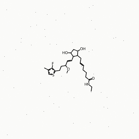 CCNC(=O)CCC/C=C/CC1C(O)CC(O)C1/C=C/C(CCc1scc(C)c1F)OC